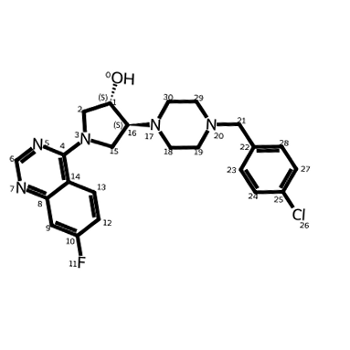 O[C@H]1CN(c2ncnc3cc(F)ccc23)C[C@@H]1N1CCN(Cc2ccc(Cl)cc2)CC1